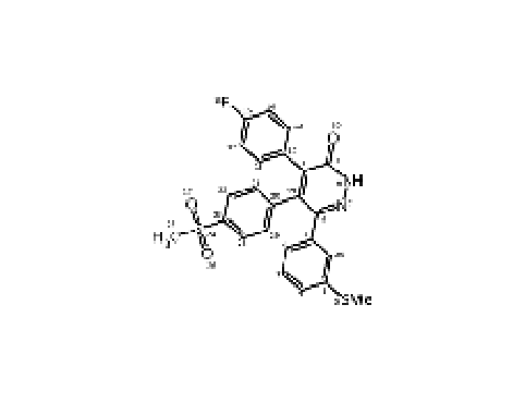 CSc1cccc(-c2n[nH]c(=O)c(-c3ccc(F)cc3)c2-c2ccc(S(C)(=O)=O)cc2)c1